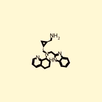 NC[C@@H]1C[C@H]1CN(Cc1nc2ccccc2[nH]1)[C@H]1CCCc2cccnc21